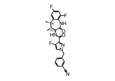 C[C@@H]1[C@H](NC(=O)c2nn(Cc3cccc(C#N)c3)cc2F)C(=O)Nc2c(F)cc(F)cc2[C@@H]1C